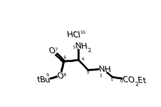 CCOC(=O)CNCC(N)C(=O)OC(C)(C)C.Cl